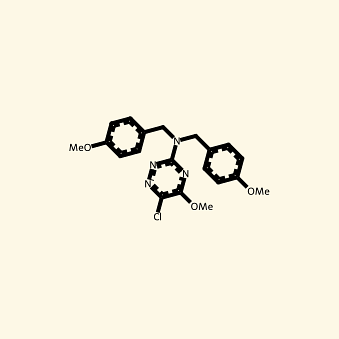 COc1ccc(CN(Cc2ccc(OC)cc2)c2nnc(Cl)c(OC)n2)cc1